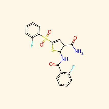 NC(=O)C1C=C(S(=O)(=O)c2ccccc2F)SC1NC(=O)c1ccccc1F